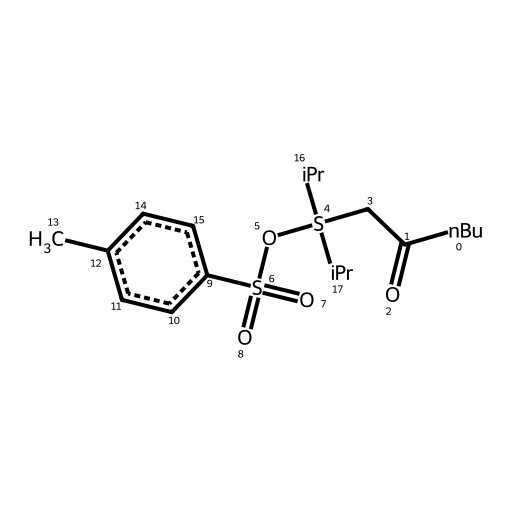 CCCCC(=O)CS(OS(=O)(=O)c1ccc(C)cc1)(C(C)C)C(C)C